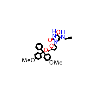 C#CCNc1cn([C@H]2CC[C@@H](COC(c3ccccc3)(c3ccc(OC)cc3)c3ccc(OC)cc3)O2)c(=O)[nH]c1=O